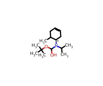 CC1CC=CC[C@H]1N(C(C)C)C(O)OC(C)(C)C